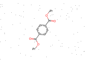 CC(C)OC(=O)c1ccc(C(=O)OC(C)C)cc1